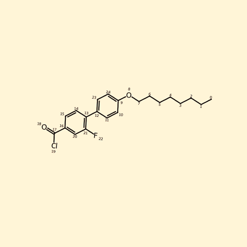 CCCCCCCCOc1ccc(-c2ccc(C(=O)Cl)cc2F)cc1